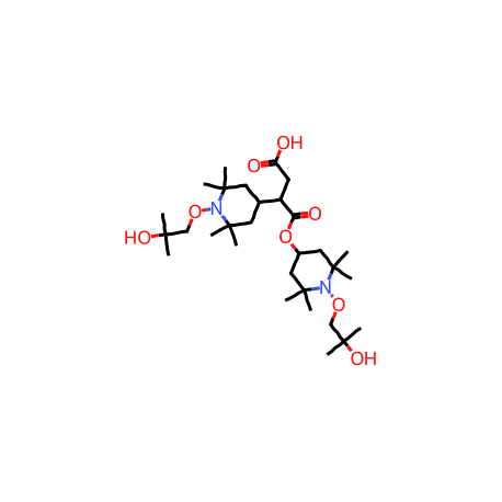 CC(C)(O)CON1C(C)(C)CC(OC(=O)C(CC(=O)O)C2CC(C)(C)N(OCC(C)(C)O)C(C)(C)C2)CC1(C)C